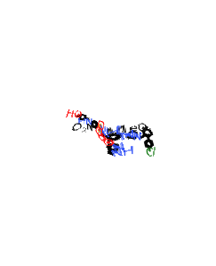 COC1(C)CCC(c2ccc(Cl)cc2)=C(CN2CCN(c3ccc(C(=O)NS(=O)(=O)c4ccc(NCC5CCC(C)(O)CC5)c([N+](=O)[O-])c4)c(Oc4cnc5[nH]ccc5c4)c3)CC2)C1